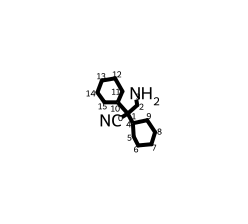 N#CC(CN)(C1CCCCC1)C1CCCCC1